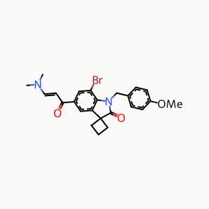 COc1ccc(CN2C(=O)C3(CCC3)c3cc(C(=O)C=CN(C)C)cc(Br)c32)cc1